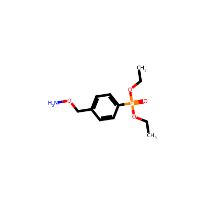 CCOP(=O)(OCC)c1ccc(CON)cc1